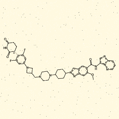 COc1cc2nn(C3CCC(N4CCN(CC5CN(c6cc(F)c([C@H]7CCC(=O)NC7=O)c(F)c6)C5)CC4)CC3)cc2cc1C(=O)Nc1cnc2cccnn12